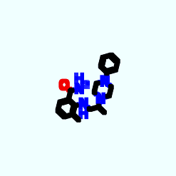 Cc1cccc(C(N)=O)c1NCC(C)N1CCN(c2ccccc2)CC1